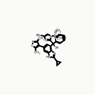 Cc1noc(C)c1-c1cc(C(O)(c2ccccn2)c2nc(C(C)(C)C)cn2[SiH](C)C)c2nc(C3CC3)[nH]c2c1